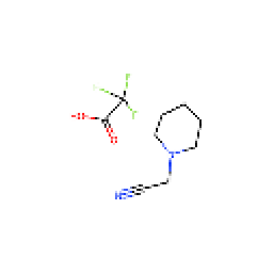 N#CCN1CCCCC1.O=C(O)C(F)(F)F